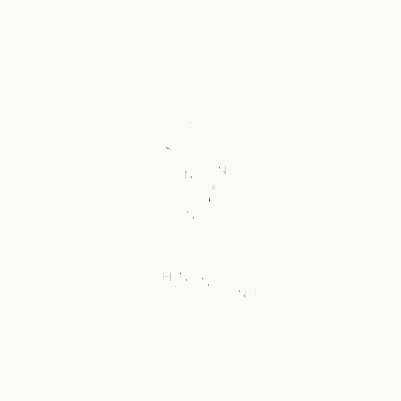 CN[C@@H](CN(C)Cc1cccc(N)c1N(N)CC=O)N(C=O)[C@H](C=O)Cc1ccc(O)cc1